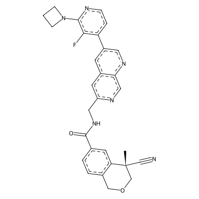 C[C@@]1(C#N)COCc2ccc(C(=O)NCc3cc4cc(-c5ccnc(N6CCC6)c5F)cnc4cn3)cc21